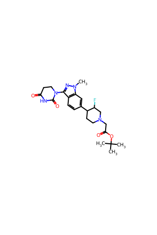 Cn1nc(N2CCC(=O)NC2=O)c2ccc(C3CCN(CC(=O)OC(C)(C)C)CC3F)cc21